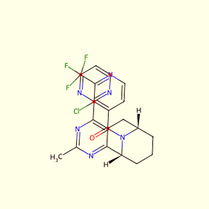 Cc1nc(-c2ncccn2)c2c(n1)[C@H]1CCC[C@@H](C2)N1C(=O)c1ccnc(C(F)(F)F)c1Cl